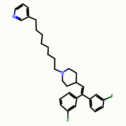 Fc1cccc(C(=CC2CCN(CCCCCCCCc3cccnc3)CC2)c2cccc(F)c2)c1